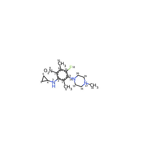 Cc1c(NC2CC2)c([N+](=O)[O-])c(C)c(F)c1N1CCN(C)CC1